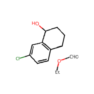 CCOC=O.OC1CCCc2ccc(Cl)cc21